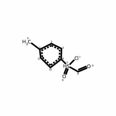 Cc1ccc([SH](=O)(Cl)C=O)cc1